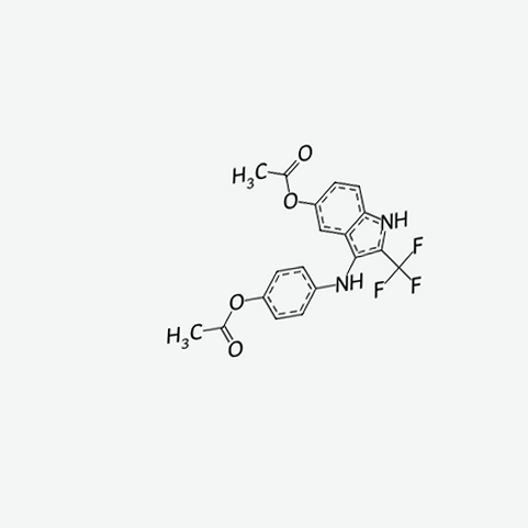 CC(=O)Oc1ccc(Nc2c(C(F)(F)F)[nH]c3ccc(OC(C)=O)cc23)cc1